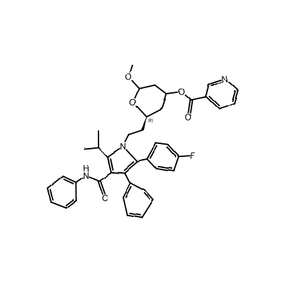 COC1CC(OC(=O)c2cccnc2)C[C@@H](CCn2c(-c3ccc(F)cc3)c(-c3ccccc3)c(C(=O)Nc3ccccc3)c2C(C)C)O1